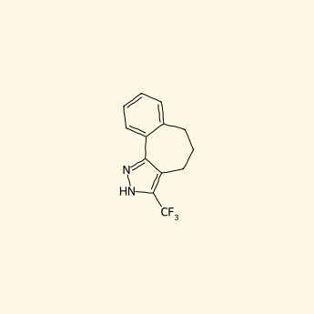 FC(F)(F)c1[nH]nc2c1CCCc1ccccc1-2